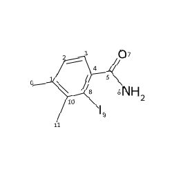 Cc1ccc(C(N)=O)c(I)c1C